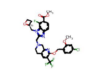 COC(=O)c1ccc2nc(CN3CCc4cc(C(F)(F)F)c(OCc5ccc(Cl)cc5OC)nc4C3)n(C[C@@H]3CCO3)c2c1F